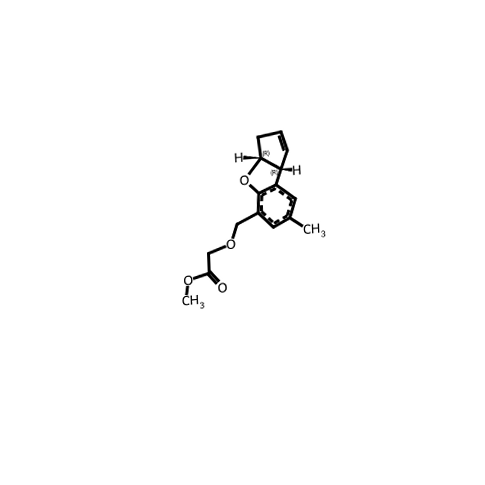 COC(=O)COCc1cc(C)cc2c1O[C@@H]1CC=C[C@H]21